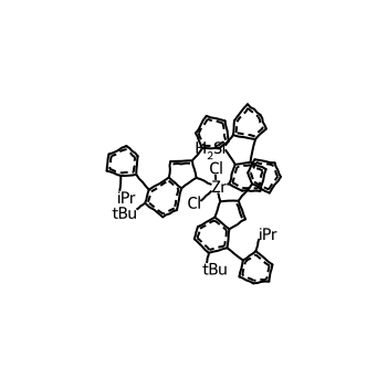 CC(C)c1ccccc1-c1c(C(C)(C)C)ccc2c1C=C(c1ccccc1)[CH]2[Zr]([Cl])([Cl])([c]1cccc2c1[SiH2]c1ccccc1-2)[CH]1C(c2ccccc2)=Cc2c1ccc(C(C)(C)C)c2-c1ccccc1C(C)C